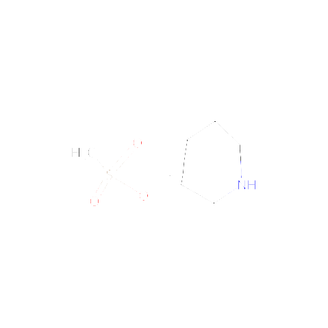 CS(=O)(=O)O[C@@H]1CCCNC1